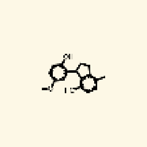 COc1ccc(O)c(C2CCc3c(C)ccc(O)c32)c1